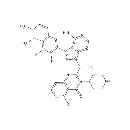 CC/C=C\c1cc(-c2nn(C(C)c3nc4cccc(Cl)c4c(=O)n3C3CCNCC3)c3ncnc(N)c23)c(F)c(F)c1OC